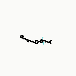 C=CC(=C)CCCCc1c(F)cc(-c2ccc(CCCCC(=C)CCCCC3=CCC=C3)cc2)cc1F